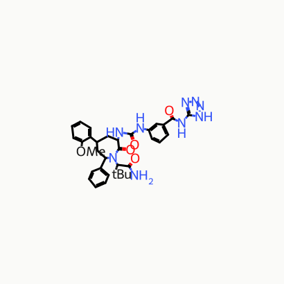 COc1ccccc1C1CC(NC(=O)Nc2cccc(C(=O)Nc3nnn[nH]3)c2)C(=O)N(C(C(N)=O)C(C)(C)C)C(c2ccccc2)C1